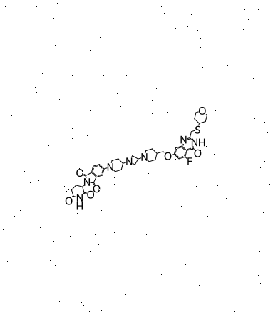 O=C1CCC(N2C(=O)c3ccc(N4CCC(N5CC(N6CCC(COc7cc(F)c8c(=O)[nH]c(CSC9CCOCC9)nc8c7)CC6)C5)CC4)cc3C2=O)C(=O)N1